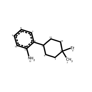 CCC1(C)CCC(c2ccccc2N)CC1